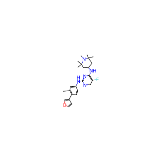 Cc1cc(Nc2ncc(F)c(NC3CC(C)(C)N(C)C(C)(C)C3)n2)ccc1-c1ccoc1